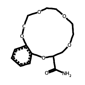 NC(=O)C1COCCOCCOCCOc2ccccc2O1